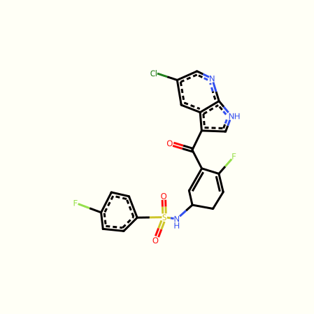 O=C(C1=CC(NS(=O)(=O)c2ccc(F)cc2)CC=C1F)c1c[nH]c2ncc(Cl)cc12